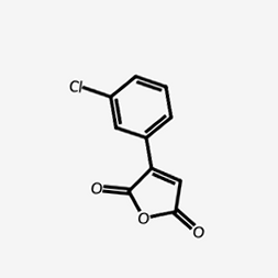 O=C1C=C(c2cccc(Cl)c2)C(=O)O1